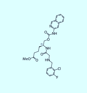 COC(=O)CCC[C@@H](COC(=O)Nc1cc2ccccc2cn1)NC(=O)CNCc1cccc(F)c1Cl